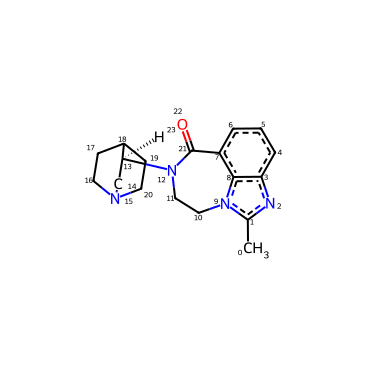 Cc1nc2cccc3c2n1CCN([C@H]1CN2CCC1CC2)C3=O